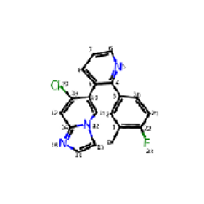 Cc1cc(-c2ncccc2-c2cn3ccnc3cc2Cl)ccc1F